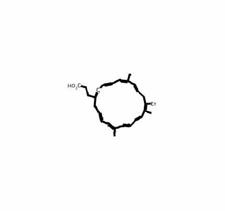 CC/C1=C(C)/C=C/C=C/C(C)=C/C=C/CC(CCC(=O)O)C/C=C/C=C(C)\C=C\C1